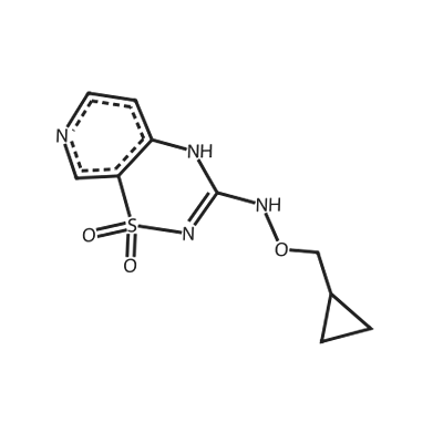 O=S1(=O)N=C(NOCC2CC2)Nc2ccncc21